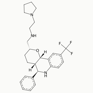 FC(F)(F)c1ccc2c(c1)[C@H]1O[C@@H](CNCCN3CCCC3)CC[C@H]1[C@H](c1ccccc1)N2